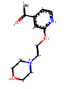 CC(C)(C)C(=O)c1ccnc(OCCN2CCOCC2)c1